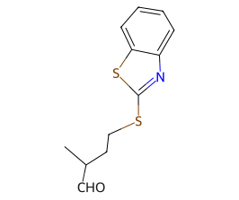 CC(C=O)CCSc1nc2ccccc2s1